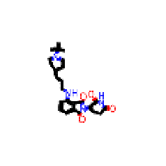 CC(C)(C)N1CCC(CCCNc2cccc3c2C(=O)N(C2CCC(=O)NC2=O)C3=O)CC1